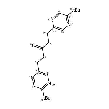 CC(C)(C)c1cnc(CCC(=O)CCc2cnc(C(C)(C)C)cn2)cn1